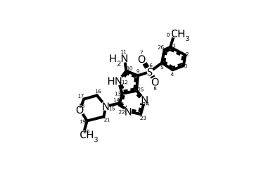 Cc1cccc(S(=O)(=O)c2c(N)[nH]c3c(N4CCOC(C)C4)ncnc23)c1